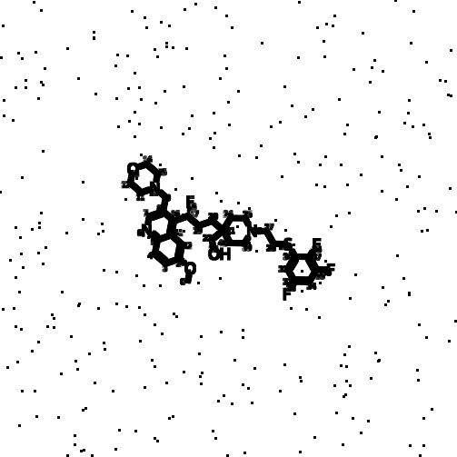 COc1ccc2ncc(CN3CCOCC3)c([C@H](F)CCC3(CO)CCN(CCSc4cc(F)cc(F)c4F)CC3)c2c1